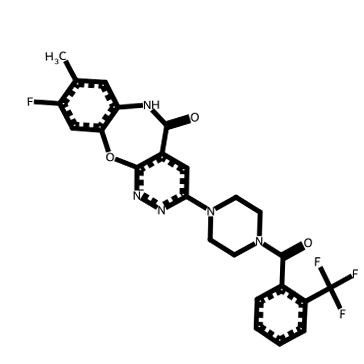 Cc1cc2c(cc1F)Oc1nnc(N3CCN(C(=O)c4ccccc4C(F)(F)F)CC3)cc1C(=O)N2